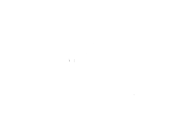 C=COCC(CC)CCCCCCCC